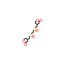 O=C1CC(CC[S+]([O-])CCC[S+]([O-])CCC2CCOC(=O)C2)CCO1